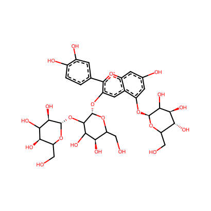 OCC1O[C@@H](Oc2cc3c(O[C@@H]4OC(CO)[C@@H](O)[C@H](O)C4O)cc(O)cc3[o+]c2-c2ccc(O)c(O)c2)C(O[C@@H]2OC(CO)[C@@H](O)C(O)[C@H]2O)C(O)[C@@H]1O